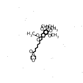 CCOC(=O)C1(CCCCCCCC(=O)N2CCOCC2)Cc2c(c(OC)c(OC)c(OC)c2OC)C1